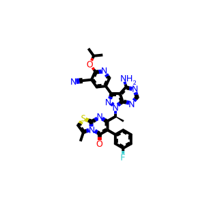 Cc1csc2nc([C@H](C)n3nc(-c4cnc(OC(C)C)c(C#N)c4)c4c(N)ncnc43)c(-c3cccc(F)c3)c(=O)n12